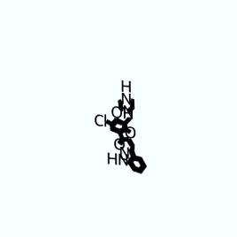 O=C1C(=Cc2n[nH]c3ccccc23)Oc2c1cc(Cl)c(O)c2CN1CCNCC1